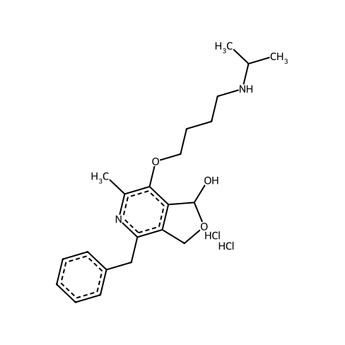 Cc1nc(Cc2ccccc2)c2c(c1OCCCCNC(C)C)C(O)OC2.Cl.Cl